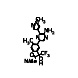 CNC(=O)C(O)(c1ccc(C)c(-c2cnc(N)c(-c3cnn(C)c3)n2)c1)C(F)(F)F